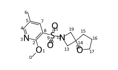 COc1ncc(C)cc1S(=O)(=O)N1CC2(CCCO2)C1